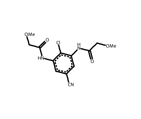 COCC(=O)Nc1cc(C#N)cc(NC(=O)COC)c1Cl